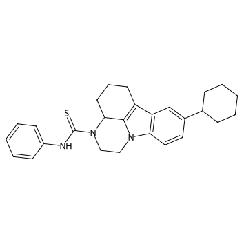 S=C(Nc1ccccc1)N1CCn2c3c(c4cc(C5CCCCC5)ccc42)CCCC31